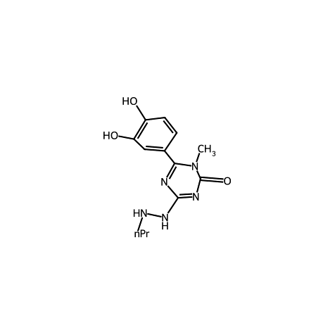 CCCNNc1nc(-c2ccc(O)c(O)c2)n(C)c(=O)n1